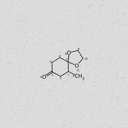 CC1CC(=O)CCC12OCCO2